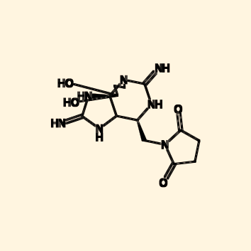 N=C1NC2[C@H](CN3C(=O)CCC3=O)NC(=N)N3CCC(O)(O)[C@]23N1